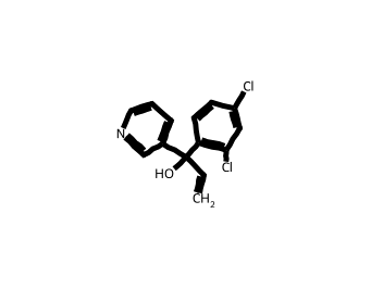 C=CC(O)(c1cccnc1)c1ccc(Cl)cc1Cl